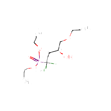 CCOC[C@@H](O)CC(F)(F)P(=O)(OCC)OCC